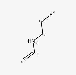 FCCNC=S